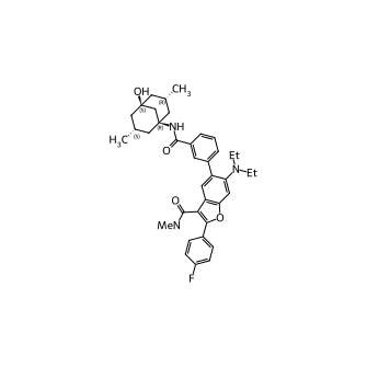 CCN(CC)c1cc2oc(-c3ccc(F)cc3)c(C(=O)NC)c2cc1-c1cccc(C(=O)N[C@]23C[C@H](C)C[C@](O)(C[C@H](C)C2)C3)c1